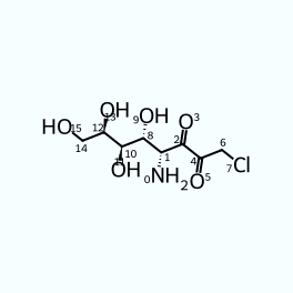 N[C@@H](C(=O)C(=O)CCl)[C@@H](O)[C@@H](O)[C@H](O)CO